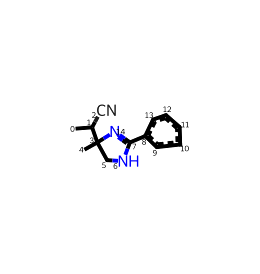 CC(C#N)C1(C)CNC(c2ccccc2)=N1